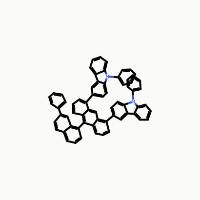 c1ccc(-c2ccc3cccc(-c4c5cccc(-c6ccc7c(c6)c6ccccc6n7-c6ccccc6)c5cc5c(-c6ccc7c(c6)c6ccccc6n7-c6ccccc6)cccc45)c3c2)cc1